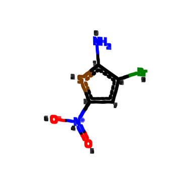 Nc1sc([N+](=O)[O-])cc1Br